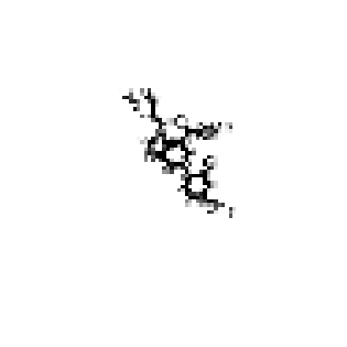 COC(=O)c1cc(-c2ccc(C)cc2Cl)cc2ncn(CCCN)c12.Cl